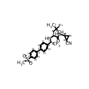 CC(C)(F)C[C@H](N[C@@H](c1ccc(-c2ccc(S(C)(=O)=O)cc2)cc1)C(F)(F)F)C(=O)NC1CC1C#N